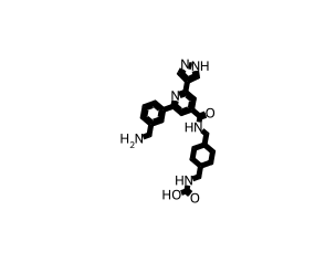 NCc1cccc(-c2cc(C(=O)NCC3CCC(CNC(=O)O)CC3)cc(-c3cn[nH]c3)n2)c1